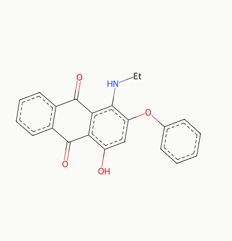 CCNc1c(Oc2ccccc2)cc(O)c2c1C(=O)c1ccccc1C2=O